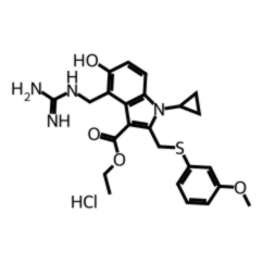 CCOC(=O)c1c(CSc2cccc(OC)c2)n(C2CC2)c2ccc(O)c(CNC(=N)N)c12.Cl